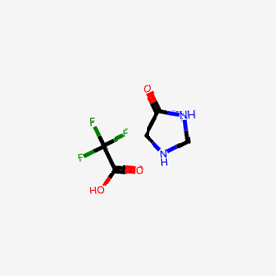 O=C(O)C(F)(F)F.O=C1CNCN1